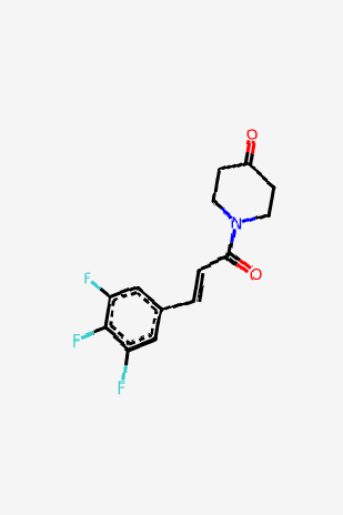 O=C1CCN(C(=O)C=Cc2cc(F)c(F)c(F)c2)CC1